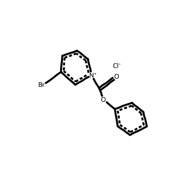 O=C(Oc1ccccc1)[n+]1cccc(Br)c1.[Cl-]